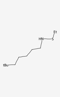 CCSNCCCCCC(C)(C)C